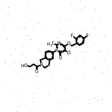 Cc1nc(OCc2ccc(F)cc2F)c(Cl)c(=O)n1-c1ccc2c(c1)CCN(C(=O)CCO)C2